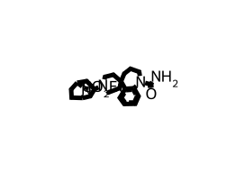 CCOC(=O)N1C2CCC1CC(N1CCC3(CCCN(C(N)=O)c4ccccc43)CC1)C2